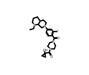 CCN1CCCC2CCN(c3ccc(C(=O)N4CCN(C(=O)C5(O)CC5)CC4)c(F)c3)CC21